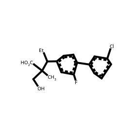 CCC(c1ccc(-c2cccc(Cl)c2)c(F)c1)C(C)(CO)C(=O)O